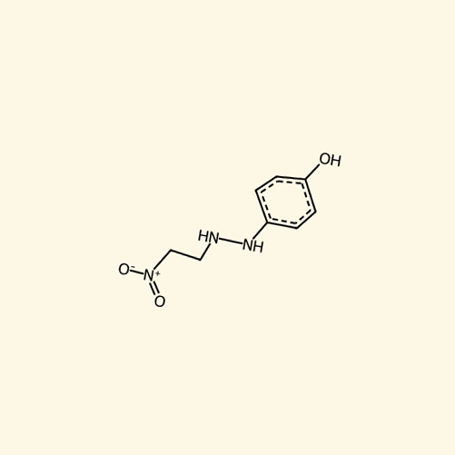 O=[N+]([O-])CCNNc1ccc(O)cc1